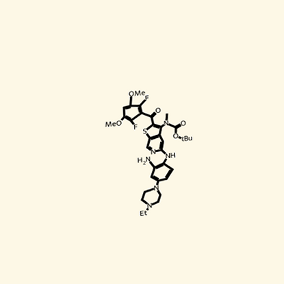 CCN1CCN(c2ccc(Nc3cc4c(N(C)C(=O)OC(C)(C)C)c(C(=O)c5c(F)c(OC)cc(OC)c5F)sc4cn3)c(N)c2)CC1